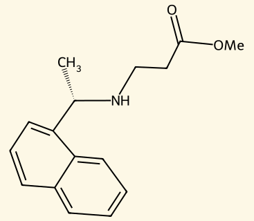 COC(=O)CCN[C@@H](C)c1cccc2ccccc12